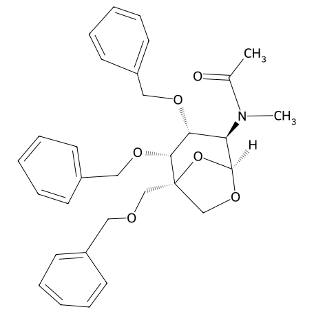 CC(=O)N(C)[C@H]1[C@H]2OC[C@](COCc3ccccc3)(O2)[C@H](OCc2ccccc2)[C@@H]1OCc1ccccc1